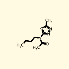 CCCCN(C(C)=O)c1nnc(C)o1